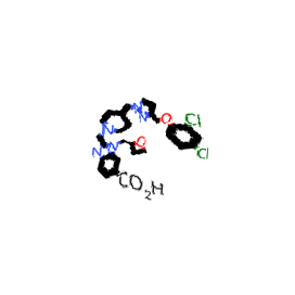 O=C(O)c1ccc2nc(CN3CCC(Cn4ccc(COc5ccc(Cl)cc5Cl)n4)CC3)n(C[C@@H]3CCO3)c2c1